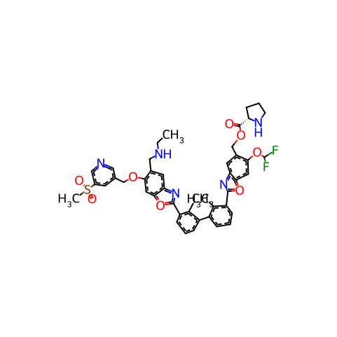 CCNCc1cc2nc(-c3cccc(-c4cccc(-c5nc6cc(COC(=O)[C@@H]7CCCN7)c(OC(F)F)cc6o5)c4C)c3C)oc2cc1OCc1cncc(S(C)(=O)=O)c1